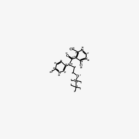 CC(C)(C)[Si](C)(C)OCCN(C(=O)c1c(Cl)ncnc1Cl)c1ccc(I)nc1